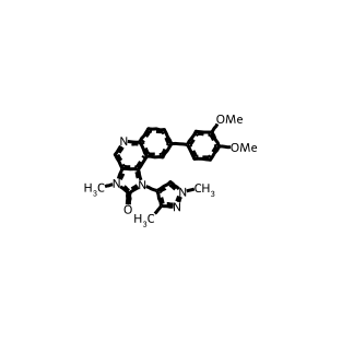 COc1ccc(-c2ccc3ncc4c(c3c2)n(-c2cn(C)nc2C)c(=O)n4C)cc1OC